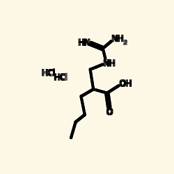 CCCCC(CNC(=N)N)C(=O)O.Cl.Cl